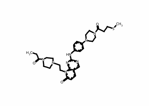 CCC(=O)N1CCN(CCn2c(=O)ccc3cnc(Nc4ccc(N5CCN(C(=O)CCSC)CC5)cc4)nc32)CC1